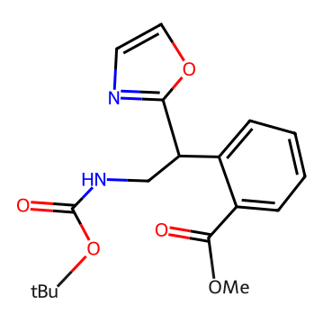 COC(=O)c1ccccc1C(CNC(=O)OC(C)(C)C)c1ncco1